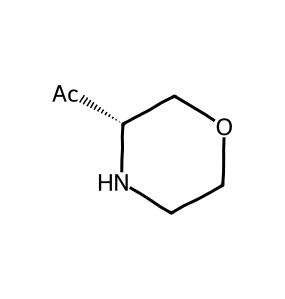 CC(=O)[C@@H]1COCCN1